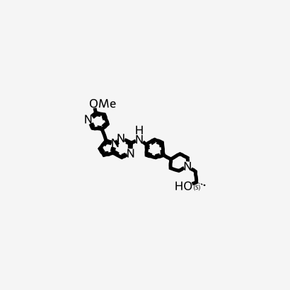 COc1ccc(-c2ccc3cnc(Nc4ccc(C5CCN(C[C@H](C)O)CC5)cc4)nn23)cn1